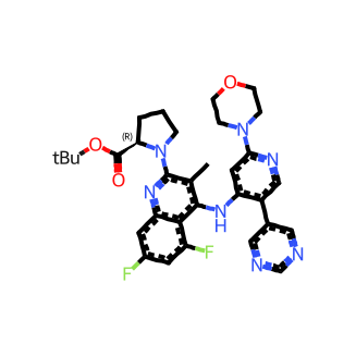 Cc1c(N2CCC[C@@H]2C(=O)OC(C)(C)C)nc2cc(F)cc(F)c2c1Nc1cc(N2CCOCC2)ncc1-c1cncnc1